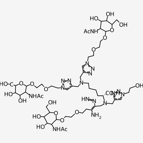 CC(=O)NC1C(OCCOCC/C(N)=C(/CN(Cc2cn(CCO)nn2)[C@H](CCCCN(Cc2cn(CCOCCOC3OC(CO)C(O)C(O)C3NC(C)=O)nn2)Cc2cn(CCOCCOC3OC(CO)C(O)C(O)C3NC(C)=O)nn2)C(=O)O)N=N)OC(CO)C(O)C1O